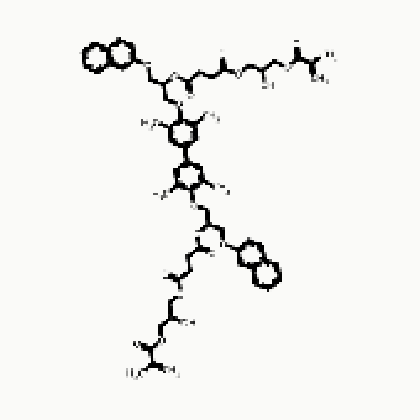 C=C(C)C(=O)OCC(O)COC(=O)CCC(=O)OC(COc1ccc2ccccc2c1)COc1c(C)cc(-c2cc(C)c(OCC(COc3ccc4ccccc4c3)OC(=O)CCC(=O)OCC(O)COC(=O)C(=C)C)c(C)c2)cc1C